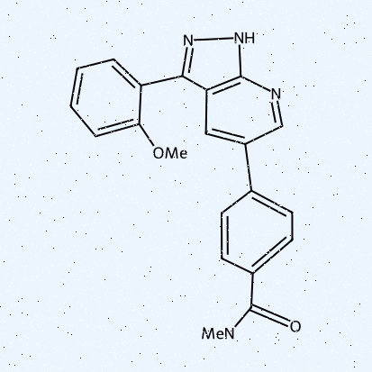 CNC(=O)c1ccc(-c2cnc3[nH]nc(-c4ccccc4OC)c3c2)cc1